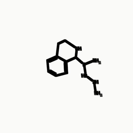 BBBB(B)C1NCCc2ccccc21